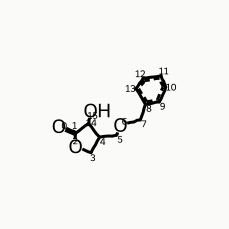 O=C1OCC(COCc2ccccc2)C1O